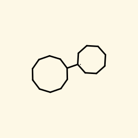 C1CCCCC([C]2CCCCCCC2)CCCC1